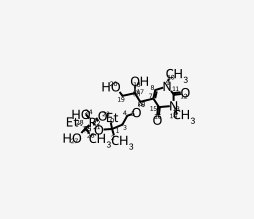 CCC(C)(CCO[C@@H](c1cn(C)c(=O)n(C)c1=O)[C@H](O)CO)OP(=O)(O)[C@@](C)(O)CC